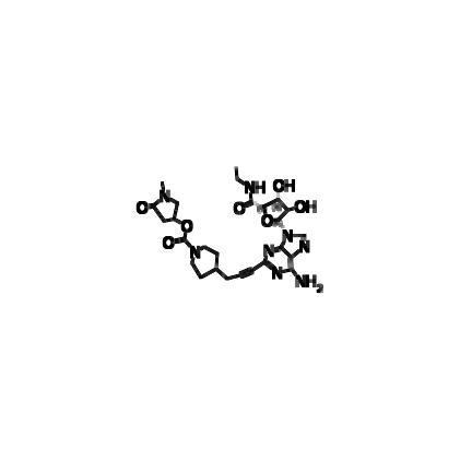 CCNC(=O)[C@H]1O[C@@H](n2cnc3c(N)nc(C#CCC4CCN(C(=O)OC5CC(=O)N(C)C5)CC4)nc32)C(O)[C@H]1O